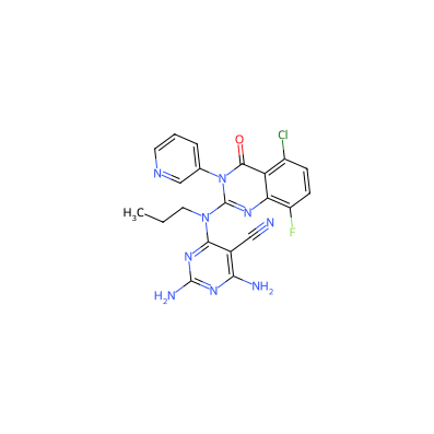 CCCN(c1nc(N)nc(N)c1C#N)c1nc2c(F)ccc(Cl)c2c(=O)n1-c1cccnc1